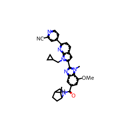 COc1cc(C(=O)N2CC3CCC2[C@@H]3C)cc2nc(-c3cc4ccc(-c5ccnc(C#N)c5)nc4n3CC3CC3)n(C)c12